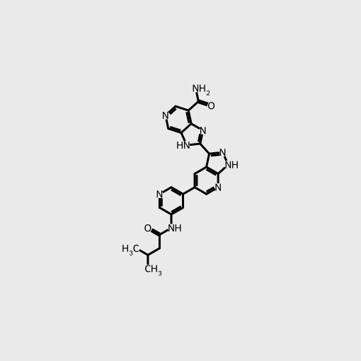 CC(C)CC(=O)Nc1cncc(-c2cnc3[nH]nc(-c4nc5c(C(N)=O)cncc5[nH]4)c3c2)c1